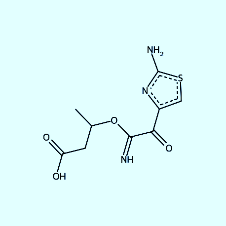 CC(CC(=O)O)OC(=N)C(=O)c1csc(N)n1